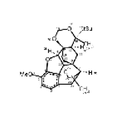 COc1ccc2c3c1O[C@H]1[C@@]45CC[C@@]6(C[C@@H]4[C@@](C)(C(C)(C)C)OCO5)[C@@H](C2)N(C)CC[C@]316